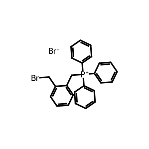 BrCc1ccccc1C[P+](c1ccccc1)(c1ccccc1)c1ccccc1.[Br-]